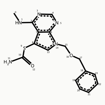 CNc1ncnc2c1c(SC(N)=O)cn2COCc1ccccc1